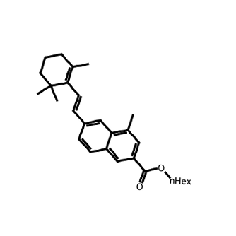 CCCCCCOC(=O)c1cc(C)c2cc(C=CC3=C(C)CCCC3(C)C)ccc2c1